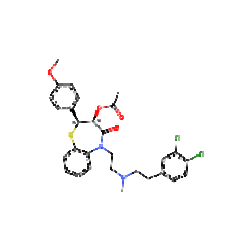 COc1ccc([C@@H]2Sc3ccccc3N(CCN(C)CCc3ccc(Cl)c(Cl)c3)C(=O)[C@@H]2OC(C)=O)cc1